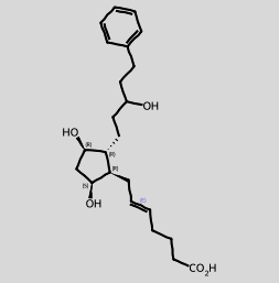 O=C(O)CCC/C=C/C[C@@H]1[C@@H](CCC(O)CCc2ccccc2)[C@H](O)C[C@@H]1O